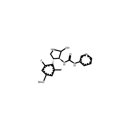 COc1cc(F)c([C@@H]2CNC(O)[C@H]2NC(=O)Nc2cccnc2)c(F)c1